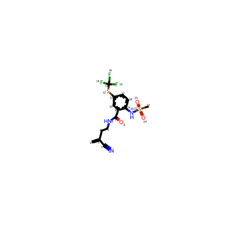 C=C(C#N)CCNC(=O)c1cc(SC(F)(F)F)ccc1NS(C)(=O)=O